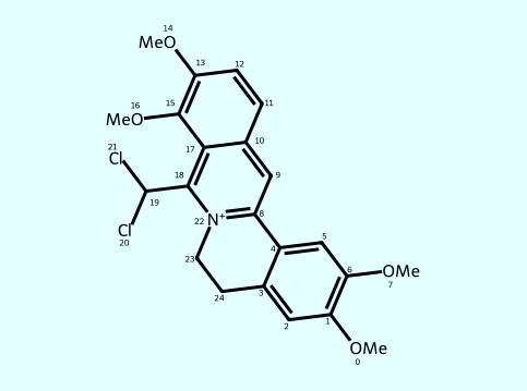 COc1cc2c(cc1OC)-c1cc3ccc(OC)c(OC)c3c(C(Cl)Cl)[n+]1CC2